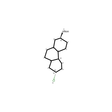 CCCCCCCCC[C@H]1CCC2C(CCC3C[C@@H](Cl)CCC32)C1